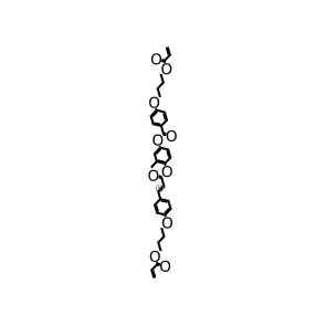 C=CC(=O)OCCCCOc1ccc(/C=C/C(=O)Oc2ccc(OC(=O)c3ccc(OCCCCOC(=O)C=C)cc3)cc2C)cc1